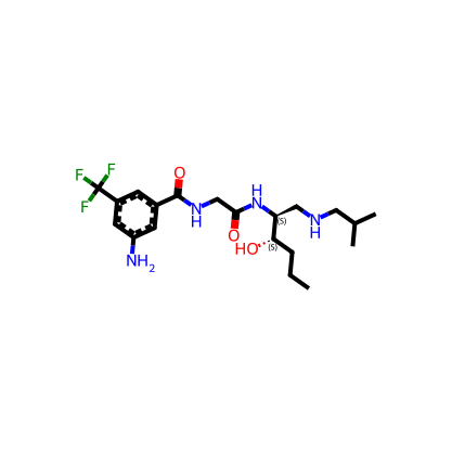 CCC[C@H](O)[C@H](CNCC(C)C)NC(=O)CNC(=O)c1cc(N)cc(C(F)(F)F)c1